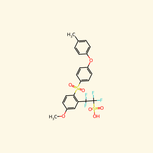 COc1ccc(S(=O)(=O)c2ccc(Oc3ccc(C)cc3)cc2)c(C(F)(F)C(F)(F)S(=O)(=O)O)c1